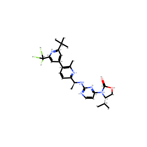 Cc1nc([C@H](C)Nc2nccc(N3C(=O)OC[C@@H]3C(C)C)n2)ccc1-c1cc(C(C)(C)C)nc(C(F)(F)F)c1